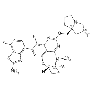 CN1c2nc(OC[C@@]34CCCN3C[C@H](F)C4)nc3c(F)c(-c4ccc(F)c5sc(N)nc45)cc(c23)O[C@H]2CC[C@@H]21